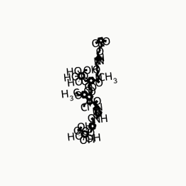 COc1ccc2c(OS(=O)(=O)Oc3cc(C(=O)N(C)CCOCCn4cc(COCCN5C(=O)C=CC5=O)nn4)ccc3O[C@@H]3O[C@H](CO)[C@H](O)[C@H](O)[C@H]3O)cc3c(c2c1)[C@H](CCl)CN3C(=O)c1cn2cc(NC(=O)c3ccc(O[C@@H]4OC(C(=O)O)[C@@H](O)[C@H](O)[C@H]4O)cc3)ccc2n1